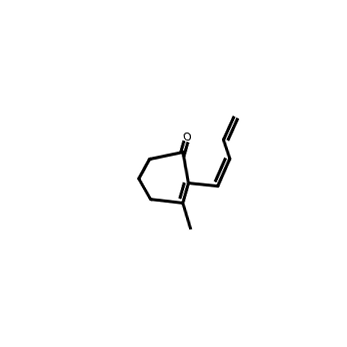 C=C/C=C\C1=C(C)CCCC1=O